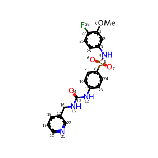 COc1cc(NS(=O)(=O)c2ccc(NC(=O)NCc3cccnc3)cc2)ccc1F